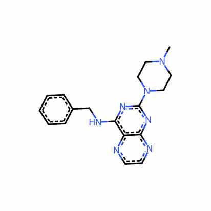 CN1CCN(c2nc(NCc3ccccc3)c3nccnc3n2)CC1